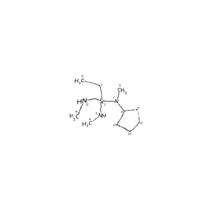 CC[Si](NC)(NC)N(C)C1CCCC1